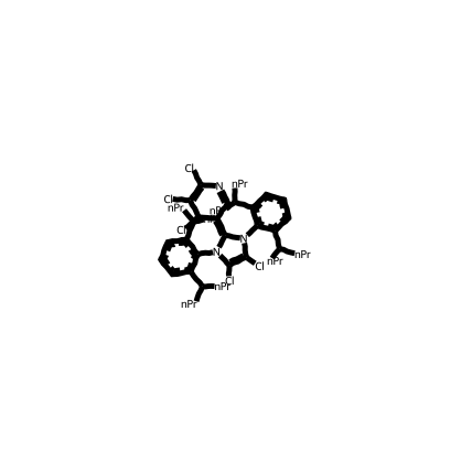 CCCC(CCC)c1cccc(C(CCC)CCC)c1N1C(Cl)=C(Cl)N(c2c(C(CCC)CCC)cccc2C(CCC)CCC)C1=C1C=NC(Cl)=C(Cl)C1Cl